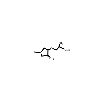 COC(C)COC1CN(N)CC1N